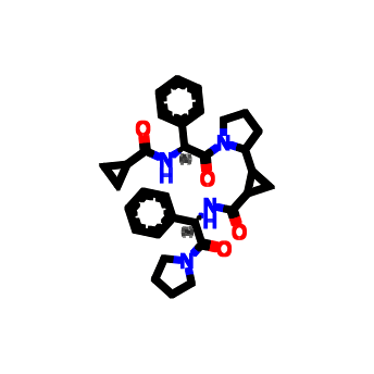 O=C(N[C@H](C(=O)N1CCCC1C1CC1C(=O)N[C@H](C(=O)N1CCCC1)c1ccccc1)c1ccccc1)C1CC1